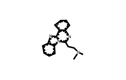 CN(C)CCc1nc2ccccc2c2nc3ccccc3n12